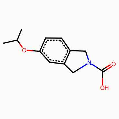 CC(C)Oc1ccc2c(c1)CN(C(=O)O)C2